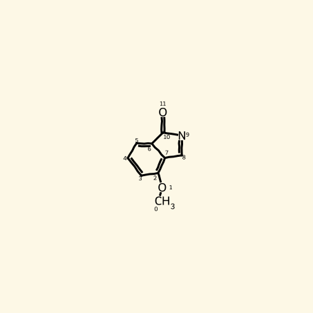 COc1cccc2c1C=NC2=O